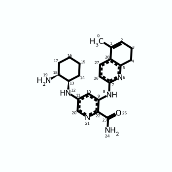 CC1=CCCc2nc(Nc3cc(N[C@@H]4CCCC[C@@H]4N)cnc3C(N)=O)ccc21